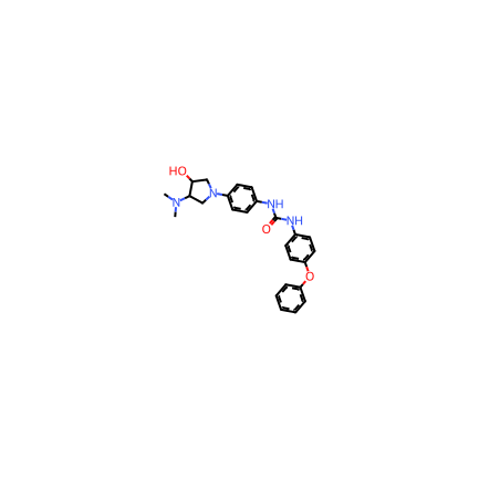 CN(C)C1CN(c2ccc(NC(=O)Nc3ccc(Oc4ccccc4)cc3)cc2)CC1O